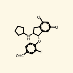 O=Cc1ccc(O[C@H]2c3cc(Cl)cc(Cl)c3C[C@@H]2NC2CCCC2)c(F)c1